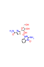 NC(=O)c1csc([C@@H]2O[C@H](CO)[C@@H](O)[C@H]2O)n1.Nc1n[n+]([O-])c2ccccc2[n+]1[O-]